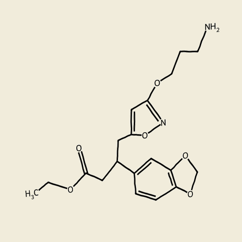 CCOC(=O)CC(Cc1cc(OCCCN)no1)c1ccc2c(c1)OCO2